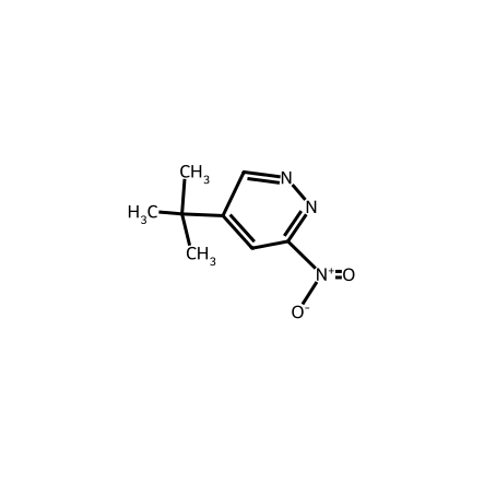 CC(C)(C)c1cnnc([N+](=O)[O-])c1